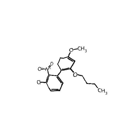 CCCCOC1=C(c2cccc(Cl)c2[N+](=O)[O-])CCC(OC)=C1